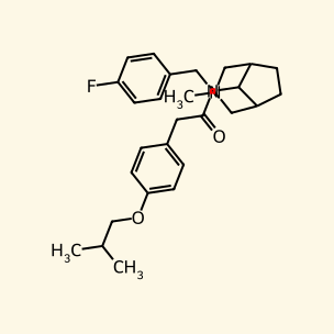 CC(C)COc1ccc(CC(=O)N(Cc2ccc(F)cc2)C2C3CCC2CN(C)C3)cc1